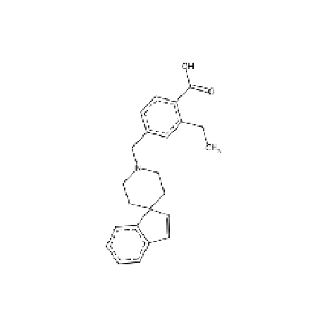 CCc1cc(CN2CCC3(C=Cc4ccccc43)CC2)ccc1C(=O)O